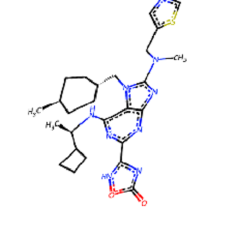 C[C@@H](Nc1nc(-c2nc(=O)o[nH]2)nc2nc(N(C)Cc3cncs3)n(C[C@H]3CC[C@H](C)CC3)c12)C1CCC1